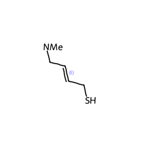 CNC/C=C/CS